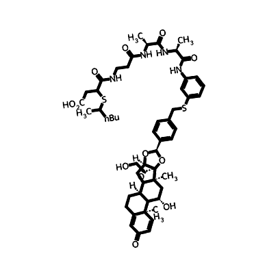 CCCCC(C)SC(CC(=O)O)C(=O)NCCC(=O)N[C@@H](C)C(=O)N[C@@H](C)C(=O)Nc1cccc(SCc2ccc([C@@H]3O[C@@H]4CC5[C@@H]6CCC7=CC(=O)C=C[C@]7(C)C6[C@@H](O)C[C@]5(C)[C@]4(C(=O)CO)O3)cc2)c1